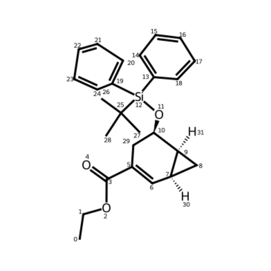 CCOC(=O)C1=C[C@@H]2C[C@@H]2[C@H](O[Si](c2ccccc2)(c2ccccc2)C(C)(C)C)C1